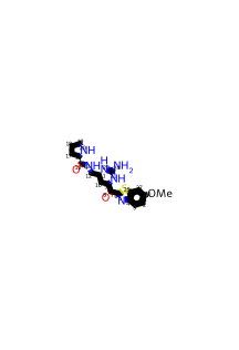 COc1ccc2nc(C(=O)C(CCCNC(=O)[C@@H]3CCCN3)NC(=N)N)sc2c1